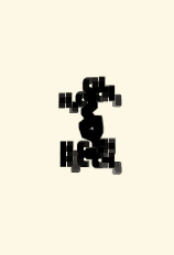 CC(C)(C)CCc1ccc(NC(C)(C)C)cc1